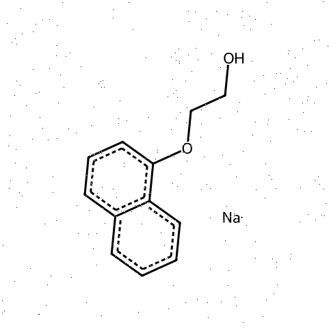 OCCOc1cccc2ccccc12.[Na]